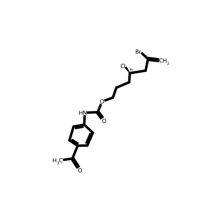 C=C(Br)C[C@H](Cl)CCCOC(=O)Nc1ccc(C(C)=O)cc1